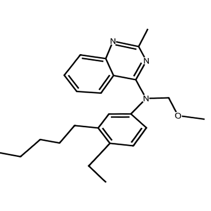 CCCCCc1cc(N(COC)c2nc(C)nc3ccccc23)ccc1CC